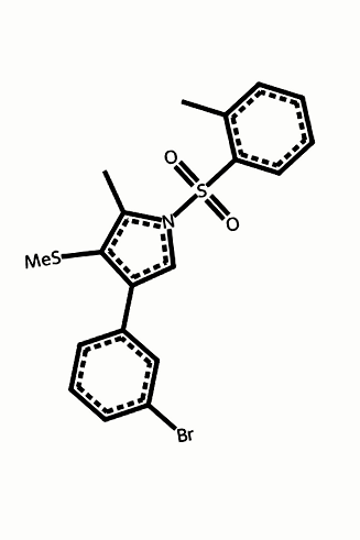 CSc1c(-c2cccc(Br)c2)cn(S(=O)(=O)c2ccccc2C)c1C